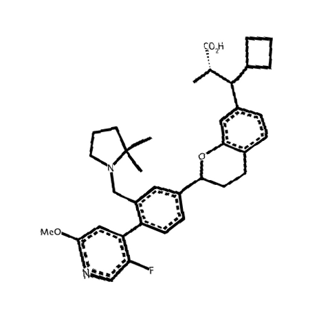 COc1cc(-c2ccc(C3CCc4ccc(C(C5CCC5)[C@H](C)C(=O)O)cc4O3)cc2CN2CCCC2(C)C)c(F)cn1